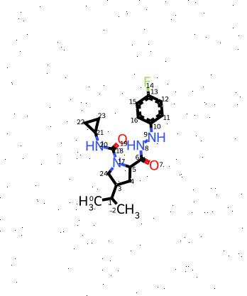 CC(C)C1CC(C(=O)NNc2ccc(F)cc2)N(C(=O)NC2CC2)C1